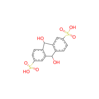 O=S(=O)(O)c1ccc2c(c1)C(O)c1ccc(S(=O)(=O)O)cc1C2O